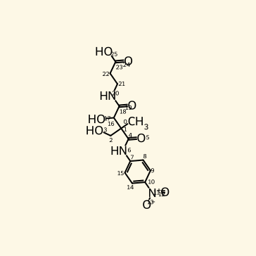 CC(CO)(C(=O)Nc1ccc([N+](=O)[O-])cc1)C(O)C(=O)NCCC(=O)O